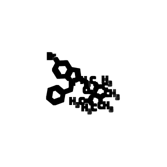 CC(C)[Si](OCc1cc2cc(Br)ccc2n1Cc1ccccc1)(C(C)C)C(C)C